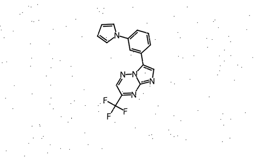 FC(F)(F)c1cnn2c(-c3cccc(-n4cccc4)c3)cnc2n1